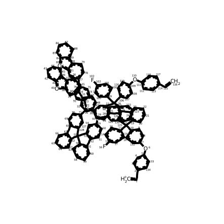 C=Cc1ccc(Oc2ccc(C3(c4ccc(F)cc4)c4ccccc4-c4ccc(N(c5ccc(-c6ccc7c(c6)oc6ccccc67)cc5)c5ccc6c(c5)C5(c7ccccc7-6)c6ccccc6-c6ccc(N(c7ccc(-c8ccc9c(c8)oc8ccccc89)cc7)c7ccc8c(c7)C(c7ccc(F)cc7)(c7ccc(Oc9ccc(C=C)cc9)cc7)c7ccccc7-8)cc65)cc43)cc2)cc1